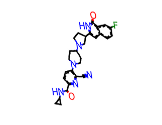 N#Cc1nc(C(=O)NC2CC2)ccc1N1CCC(N2CCC(c3cc4ccc(F)cc4c(=O)[nH]3)C2)CC1